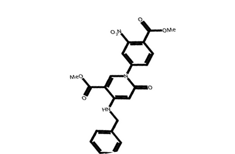 COC(=O)c1cn(-c2ccc(C(=O)OC)c([N+](=O)[O-])c2)c(=O)cc1NCc1ccccc1